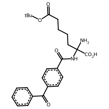 CC(C)(C)OC(=O)CCCCC(N)(NC(=O)c1ccc(C(=O)c2ccccc2)cc1)C(=O)O